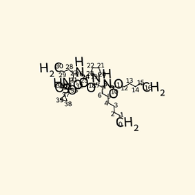 C=CCCCCC[C@H](NC(=O)OCCCC=C)C(=O)N1CCC[C@H]1C(=O)NC(CC=C)C(=O)NS(=O)(=O)C1CC1